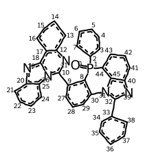 O=P1(c2ccccc2)c2c(-c3nc4ccccc4c4nc5ccccc5n34)cccc2-n2c(-c3ccccc3)nc3cccc1c32